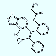 C=CC(=O)Oc1ccccc1/C(=C(\c1ccccc1)C1CC1)c1ccc2[nH]ncc2c1C#N